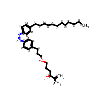 C=C(C)C(=O)CCCOCCCc1ccc(/N=N\c2ccc(CCCCCCCCCCCC)cc2)cc1